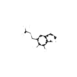 O=C(O)CCc1cc2ccoc2c(Br)c1Br